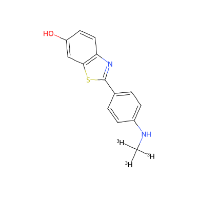 [3H]C([3H])([3H])Nc1ccc(-c2nc3ccc(O)cc3s2)cc1